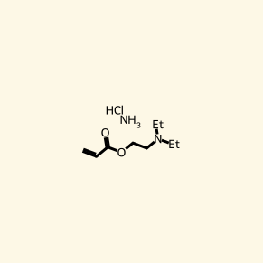 C=CC(=O)OCCN(CC)CC.Cl.N